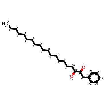 CCCCCCCCCCCCCCCCCC(=O)C(=O)Cc1ccccc1